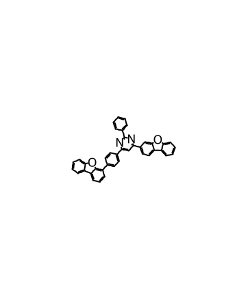 c1ccc(-c2nc(-c3ccc(-c4cccc5c4oc4ccccc45)cc3)cc(-c3ccc4c(c3)oc3ccccc34)n2)cc1